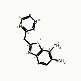 Bc1ccc2nc(Cc3cnccn3)[nH]c2c1C